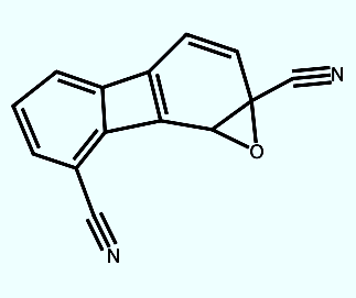 N#Cc1cccc2c1C1=C2C=CC2(C#N)OC12